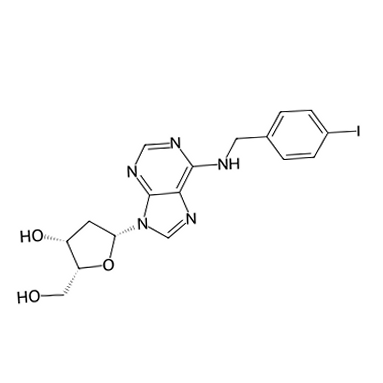 OC[C@H]1O[C@@H](n2cnc3c(NCc4ccc(I)cc4)ncnc32)C[C@H]1O